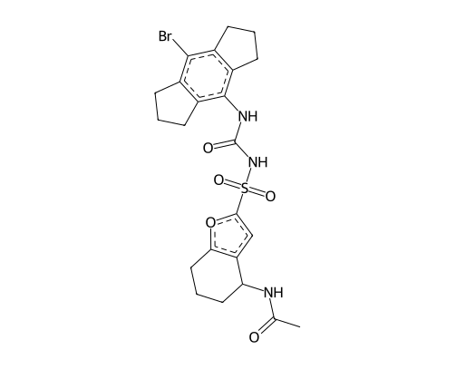 CC(=O)NC1CCCc2oc(S(=O)(=O)NC(=O)Nc3c4c(c(Br)c5c3CCC5)CCC4)cc21